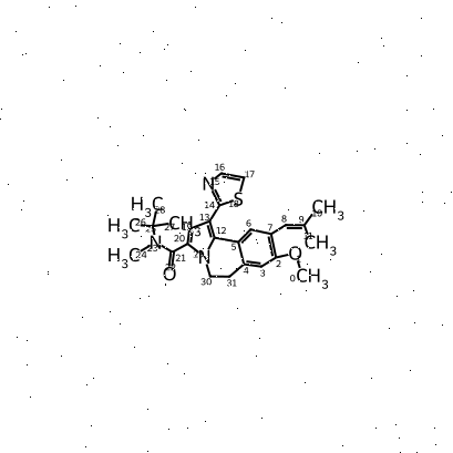 COc1cc2c(cc1C=C(C)C)-c1c(-c3nccs3)cc(C(=O)N(C)C(C)(C)C)n1CC2